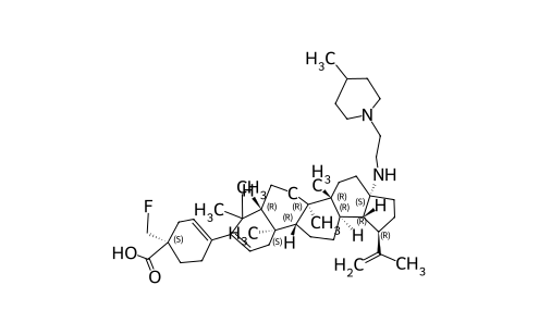 C=C(C)[C@@H]1CC[C@]2(NCCN3CCC(C)CC3)CC[C@]3(C)[C@H](CC[C@@H]4[C@@]5(C)CC=C(C6=CC[C@](CF)(C(=O)O)CC6)C(C)(C)[C@@H]5CC[C@]43C)[C@@H]12